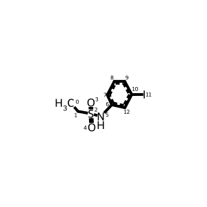 CCS(=O)(=O)Nc1cccc(I)c1